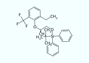 CCc1cccc(C(F)(F)F)c1O[C@H](C)CO[Si](c1ccccc1)(c1ccccc1)C(C)(C)C